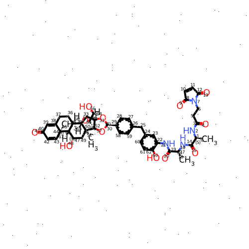 C[C@H](NC(=O)CCN1C(=O)C=CC1=O)C(=O)N[C@@H](C)C(=O)Nc1cc(Cc2ccc([C@@H]3O[C@@H]4C[C@H]5[C@@H]6CCC7=CC(=O)C=C[C@]7(C)[C@H]6[C@@H](O)C[C@]5(C)[C@]4(C(=O)CO)O3)cc2)ccc1O